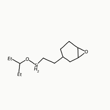 CCC(CC)O[SiH2]CCC1CCC2OC2C1